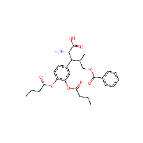 CCCC(=O)Oc1ccc(C(C(C)COC(=O)c2ccccc2)[C@H](N)C(=O)O)cc1OC(=O)CCC